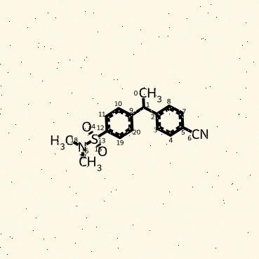 CC(c1ccc(C#N)cc1)c1ccc(S(=O)(=O)N(C)C)cc1